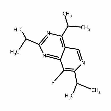 CC(C)c1nc(C(C)C)c2cnc(C(C)C)c(F)c2n1